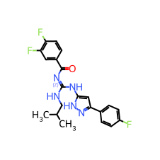 CC(C)CN/C(=N/C(=O)c1ccc(F)c(F)c1)Nc1cc(-c2ccc(F)cc2)n[nH]1